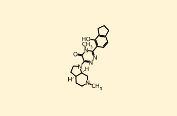 CN1CC[C@H]2CCN(c3nnc(-c4ccc5c(c4O)CCC5)n(C)c3=O)[C@H]2C1